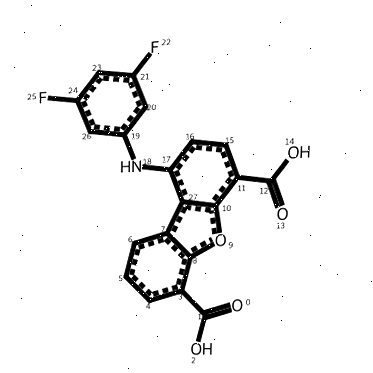 O=C(O)c1cccc2c1oc1c(C(=O)O)ccc(Nc3cc(F)cc(F)c3)c12